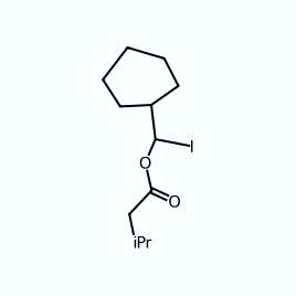 CC(C)CC(=O)OC(I)C1CCCCC1